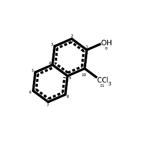 Oc1ccc2ccccc2c1C(Cl)(Cl)Cl